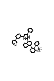 CCc1ccccc1-c1c(CC)cccc1-c1ccc(-c2nc(-c3ccccc3)cc(-c3cccc(-c4cccnc4)c3)n2)c2ccccc12